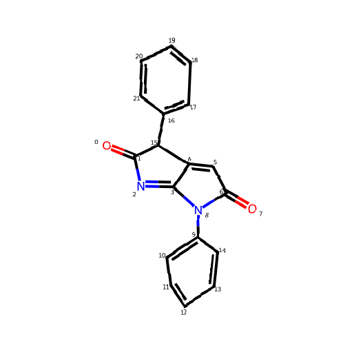 O=C1N=C2C(=CC(=O)N2c2ccccc2)C1c1ccccc1